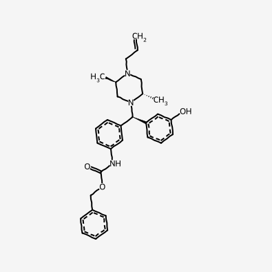 C=CCN1C[C@H](C)N([C@@H](c2cccc(O)c2)c2cccc(NC(=O)OCc3ccccc3)c2)C[C@H]1C